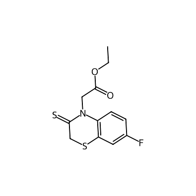 CCOC(=O)CN1C(=S)CSc2cc(F)ccc21